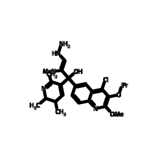 CN/C(=C\NN)C(O)(C1=CC(C)C(C)N=C1C)c1ccc2nc(OC)c(OC(C)C)c(Cl)c2c1